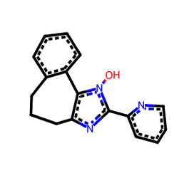 On1c(-c2ccccn2)nc2c1-c1ccccc1CCC2